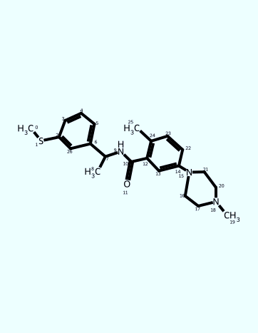 CSc1cccc(C(C)NC(=O)c2cc(N3CCN(C)CC3)ccc2C)c1